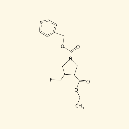 CCOC(=O)C1CN(C(=O)OCc2ccccc2)CC1CF